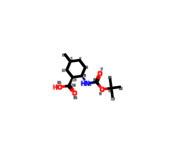 CC1CC[C@H](NC(=O)OC(C)(C)C)[C@@H](C(=O)O)C1